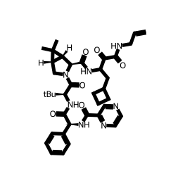 C=CCNC(=O)C(=O)C(CC1CCC1)NC(=O)[C@@H]1[C@@H]2[C@H](CN1C(=O)[C@@H](NC(=O)[C@@H](NC(=O)c1cnccn1)c1ccccc1)C(C)(C)C)C2(C)C